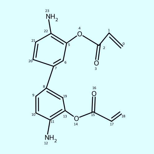 C=CC(=O)Oc1cc(-c2ccc(N)c(OC(=O)C=C)c2)ccc1N